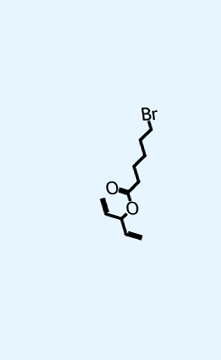 C=CC(C=C)OC(=O)CCCCCBr